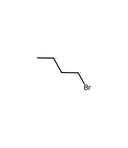 C[CH]C[CH]Br